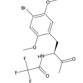 COc1cc(C[C@H](NC(=O)C(F)(F)F)C(C)=O)c(OC)cc1Br